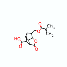 C=C(C)C(=O)OCC1C2CC3C1OC(=O)C3C2C(=O)O